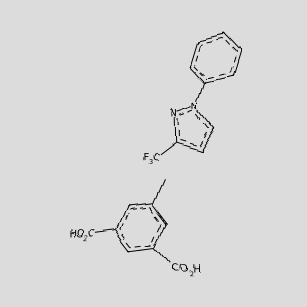 Cc1cc(C(=O)O)cc(C(=O)O)c1.FC(F)(F)c1ccn(-c2ccccc2)n1